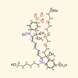 CCN1/C(=C/C=C/C=C/C2=[N+](CCCCCC(=O)O)c3ccc(S(=O)(=O)O)cc3C2(C)CCOCCOCCOCCOC)C(C)(C)c2cc(S(=O)(=O)[O-])ccc21